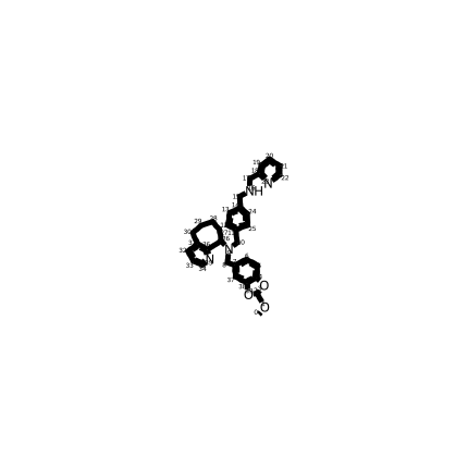 COC1Oc2ccc(CN(Cc3ccc(CNCc4ccccn4)cc3)C3CCCCc4cccnc43)cc2O1